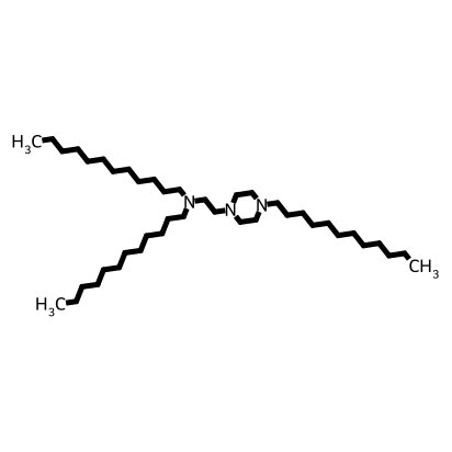 CCCCCCCCCCCCN(CCCCCCCCCCCC)CCN1CCN(CCCCCCCCCCCC)CC1